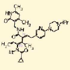 C=C/C(=C(C)\C(=C/Cc1ccc(N2CCN(C(C)C)CC2)nc1)C(=O)NCc1c(C)cc(C)[nH]c1=O)N(CC)C(=O)C1CC1